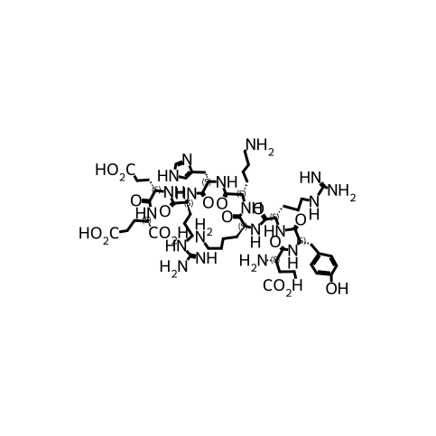 N=C(N)NCCC[C@H](NC(=O)[C@H](Cc1c[nH]cn1)NC(=O)[C@H](CCCCN)NC(=O)[C@H](CCCCN)NC(=O)[C@H](CCCNC(=N)N)NC(=O)[C@H](Cc1ccc(O)cc1)NC(=O)[C@@H](N)CCC(=O)O)C(=O)N[C@@H](CCC(=O)O)C(=O)N[C@@H](CCC(=O)O)C(=O)O